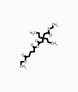 CCCC(CCC)(CC(=O)OCC)CC(=O)OC(=O)CCCC(=O)OCC